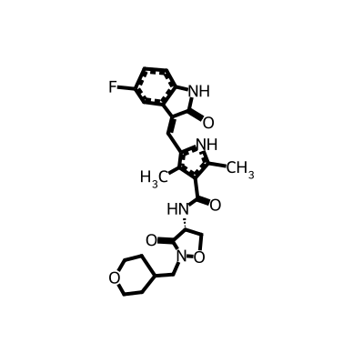 Cc1[nH]c(/C=C2\C(=O)Nc3ccc(F)cc32)c(C)c1C(=O)N[C@@H]1CON(CC2CCOCC2)C1=O